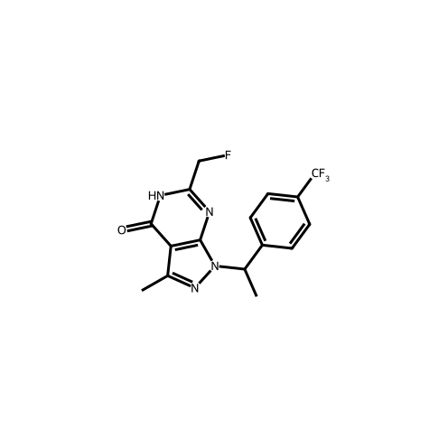 Cc1nn(C(C)c2ccc(C(F)(F)F)cc2)c2nc(CF)[nH]c(=O)c12